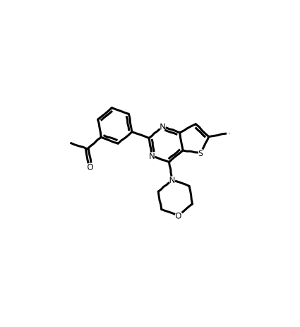 [CH2]c1cc2nc(-c3cccc(C(C)=O)c3)nc(N3CCOCC3)c2s1